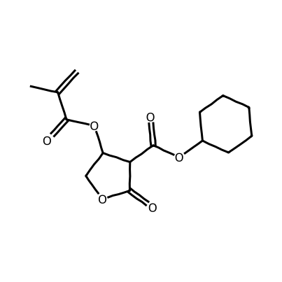 C=C(C)C(=O)OC1COC(=O)C1C(=O)OC1CCCCC1